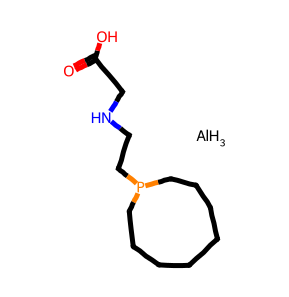 O=C(O)CNCCP1CCCCCCCC1.[AlH3]